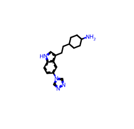 NC1CCC(CCc2c[nH]c3ccc(-n4cnnc4)cc23)CC1